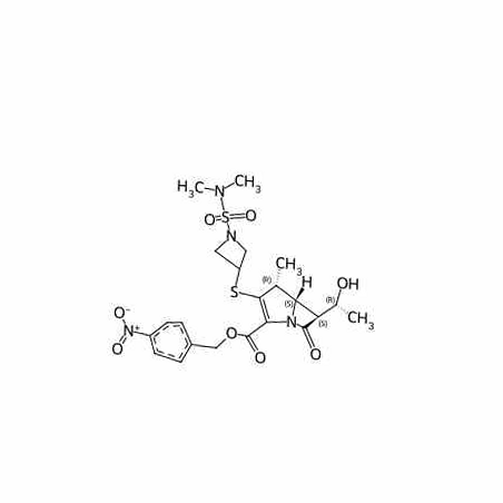 C[C@@H](O)[C@H]1C(=O)N2C(C(=O)OCc3ccc([N+](=O)[O-])cc3)=C(SC3CN(S(=O)(=O)N(C)C)C3)[C@H](C)[C@H]12